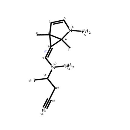 CC12C=CN(P)C1(C)/C2=C\N(N)C(I)CC#N